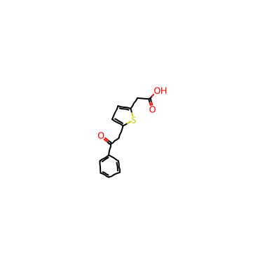 O=C(O)Cc1ccc(CC(=O)c2ccccc2)s1